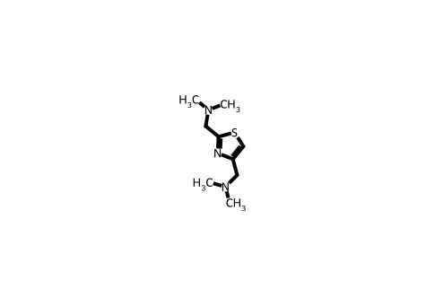 CN(C)Cc1csc(CN(C)C)n1